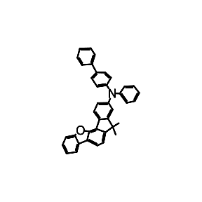 CC1(C)c2cc(N(c3ccccc3)c3ccc(-c4ccccc4)cc3)ccc2-c2c1ccc1c2oc2ccccc21